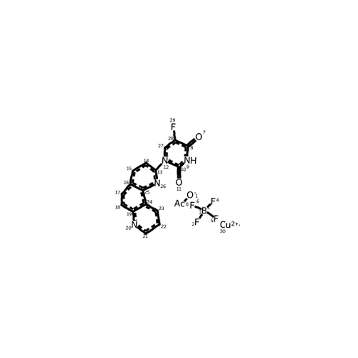 CC(=O)[O-].F[B-](F)(F)F.O=c1[nH]c(=O)n(-c2ccc3ccc4ncccc4c3n2)cc1F.[Cu+2]